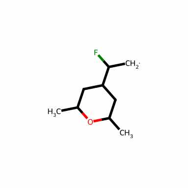 [CH2]C(F)C1CC(C)OC(C)C1